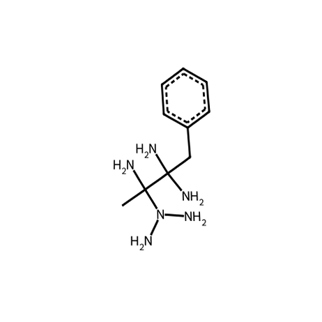 CC(N)(N(N)N)C(N)(N)Cc1ccccc1